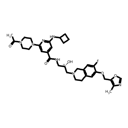 CC(=O)N1CCN(c2cc(C(=O)NC[C@H](O)CN3CCc4cc(OCc5ocnc5C)c(F)cc4C3)cc(NC3CCC3)n2)CC1